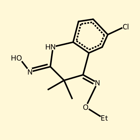 CCON=C1c2cc(Cl)ccc2NC(=NO)C1(C)C